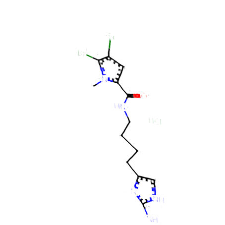 Cl.Cn1c(C(=O)NCCCCc2c[nH]c(N)n2)cc(Br)c1Br